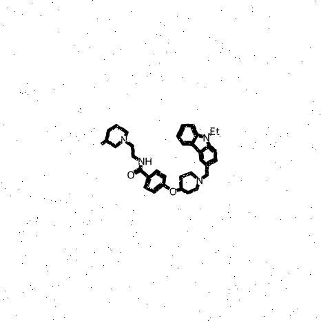 CCn1c2ccccc2c2cc(CN3CCC(Oc4ccc(C(=O)NCCN5CCCC(C)C5)cc4)CC3)ccc21